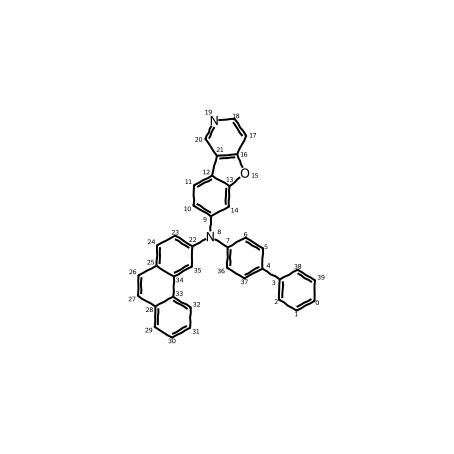 c1ccc(-c2ccc(N(c3ccc4c(c3)oc3ccncc34)c3ccc4ccc5ccccc5c4c3)cc2)cc1